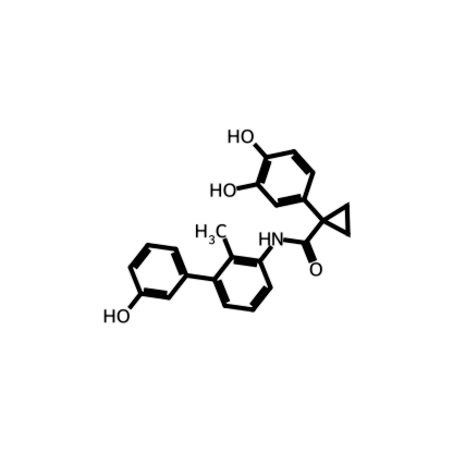 Cc1c(NC(=O)C2(c3ccc(O)c(O)c3)CC2)cccc1-c1cccc(O)c1